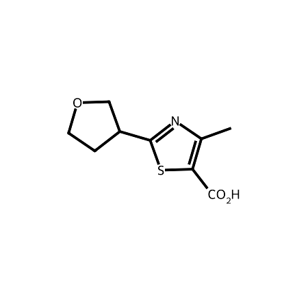 Cc1nc(C2CCOC2)sc1C(=O)O